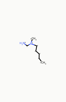 CCCCCN(C)CN